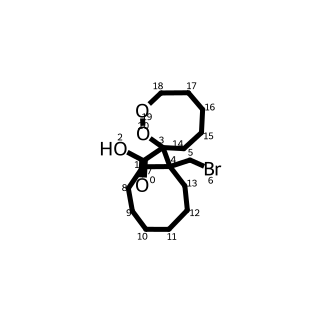 O=C(O)C1(C2(CBr)CCCCCCC2)CCCCCOO1